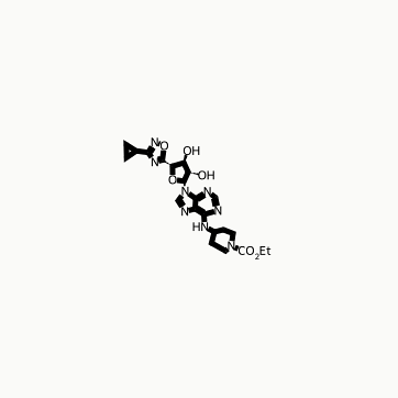 CCOC(=O)N1CCC(Nc2ncnc3c2ncn3[C@@H]2O[C@H](c3nc(C4CC4)no3)[C@@H](O)[C@@H]2O)CC1